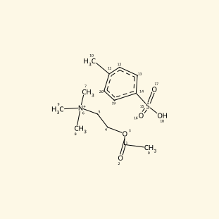 CC(=O)OCC[N+](C)(C)C.Cc1ccc(S(=O)(=O)O)cc1